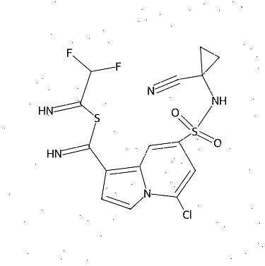 N#CC1(NS(=O)(=O)c2cc(Cl)n3ccc(C(=N)SC(=N)C(F)F)c3c2)CC1